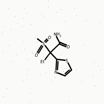 CCC(C(N)=O)(c1nccs1)S(C)(=O)=O